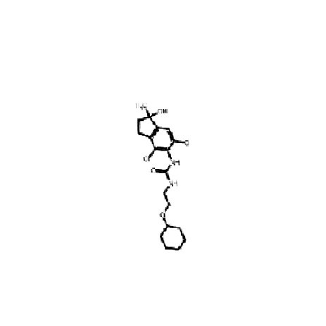 CC1(O)CCc2c1cc(Cl)c(NC(=O)NCCOC1CCCCC1)c2Cl